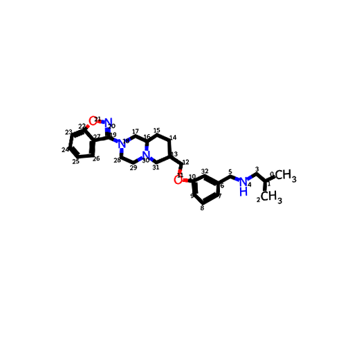 CC(C)CNCc1cccc(OCC2CCC3CN(c4noc5ccccc45)CCN3C2)c1